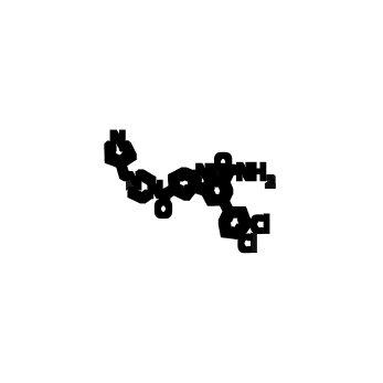 NC(=O)c1cc(-c2ccc(Cl)c(Cl)c2)cc2c1[nH]c1ccc(C(=O)N3CCN(Cc4ccncc4)CC3)cc12